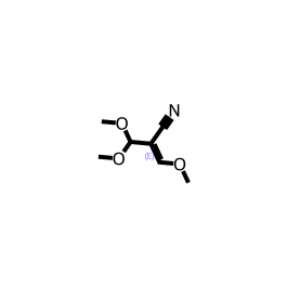 CO/C=C(\C#N)C(OC)OC